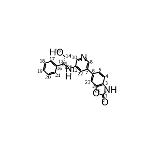 O=c1[nH]c2ccc(-c3cncc(N[C@@H](CO)c4ccccc4)c3)cc2o1